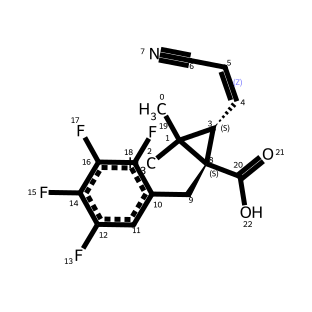 CC1(C)[C@H](/C=C\C#N)[C@]1(Cc1cc(F)c(F)c(F)c1F)C(=O)O